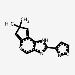 CC1(C)C=c2ncc3nc(-c4ccon4)[nH]c3c2=C1